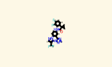 O=C(Nc1ccc(-n2cc(C(F)F)cn2)c(-c2nnn[nH]2)c1)C1(c2ccc(F)c(F)c2)CC1